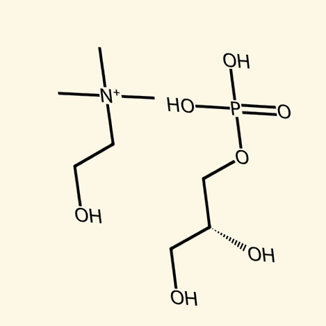 C[N+](C)(C)CCO.O=P(O)(O)OC[C@H](O)CO